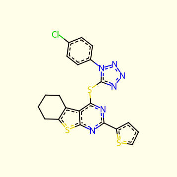 Clc1ccc(-n2nnnc2Sc2nc(-c3cccs3)nc3sc4c(c23)CCCC4)cc1